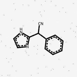 N#CC(c1ccccc1)c1ncc[nH]1